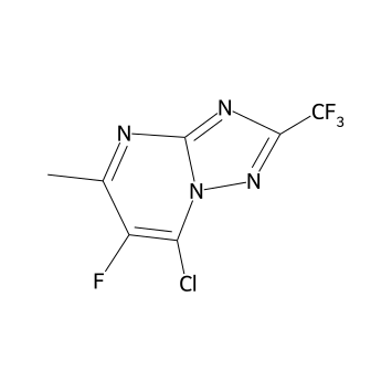 Cc1nc2nc(C(F)(F)F)nn2c(Cl)c1F